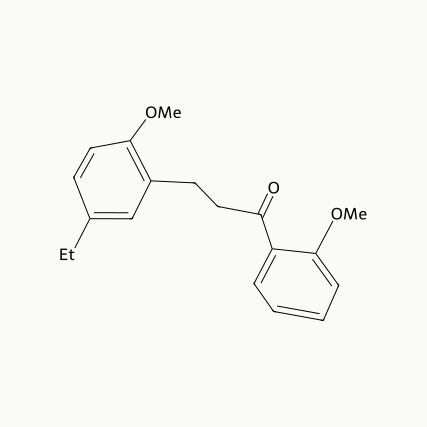 CCc1ccc(OC)c(CCC(=O)c2ccccc2OC)c1